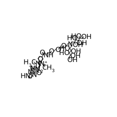 CCn1c(CNC(=O)c2nc3cc[nH]c3nc2N)[n+](CC)c2cc(C(=O)NCCOCCOCCOCCN(CC(O)C(O)C(O)C(O)CO)CC(O)C(O)C(O)C(O)CO)ccc21